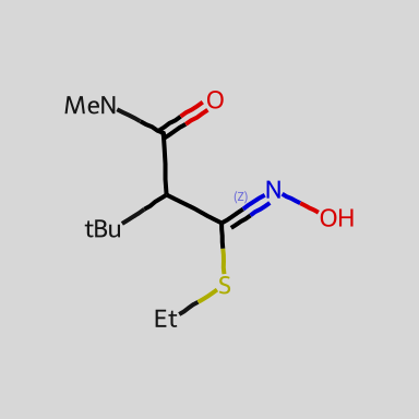 CCS/C(=N\O)C(C(=O)NC)C(C)(C)C